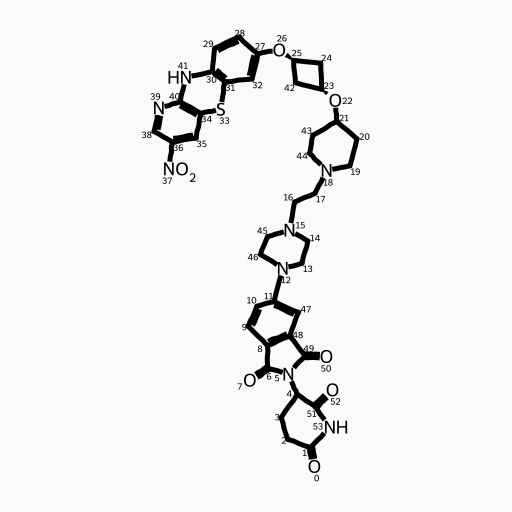 O=C1CCC(N2C(=O)c3ccc(N4CCN(CCN5CCC(O[C@H]6C[C@H](Oc7ccc8c(c7)Sc7cc([N+](=O)[O-])cnc7N8)C6)CC5)CC4)cc3C2=O)C(=O)N1